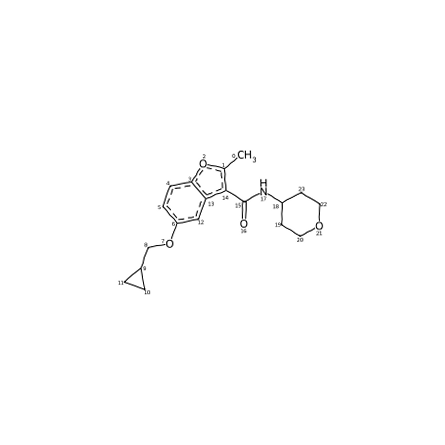 Cc1oc2ccc(OCC3CC3)cc2c1C(=O)NC1CCOCC1